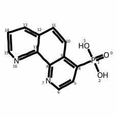 O=P(O)(O)c1ccnc2c1ccc1cccnc12